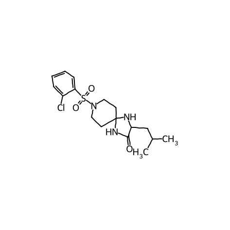 CC(C)CC1NC2(CCN(S(=O)(=O)c3ccccc3Cl)CC2)NC1=O